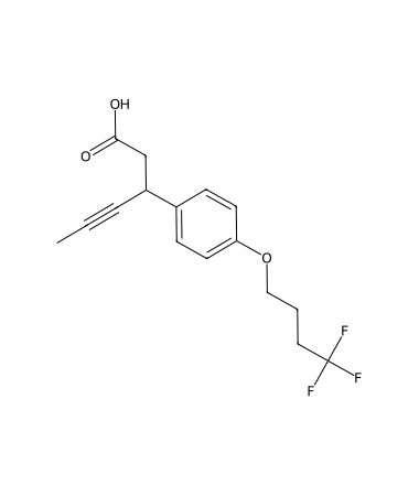 CC#CC(CC(=O)O)c1ccc(OCCCC(F)(F)F)cc1